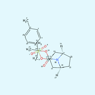 Cc1ccc(S(=O)(=O)OC2C[C@H]3CC[C@@H](C2)N3C(=O)OC(C)(C)C)cc1